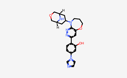 Oc1cc(-n2ccnc2)ccc1-c1cc2c(nn1)N(C1C[C@H]3COC[C@@H](C1)N3)CCCO2